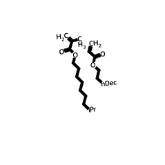 C=C(C)C(=O)OCCCCCCCC(C)C.C=CC(=O)OCCCCCCCCCCCC